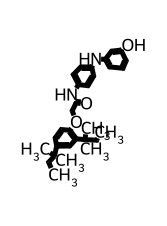 CCC(C)(C)c1ccc(OCC(=O)Nc2ccc(Nc3cccc(O)c3)cc2)c(C(C)(C)CC)c1